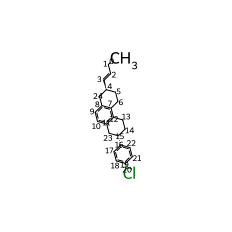 CC/C=C/[C@H]1CCc2c(ccc3c2CC[C@H](c2ccc(Cl)cc2)C3)C1